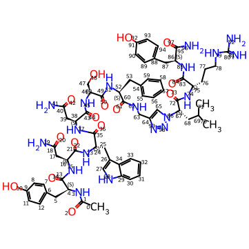 CC(=O)N[C@@H](Cc1ccc(O)cc1)C(=O)N[C@@H](CC(N)=O)C(=O)N[C@@H](Cc1c[nH]c2ccccc12)C(=O)N[C@@H](CC(N)=O)C(=O)N[C@@H](CO)C(=O)N[C@@H](Cc1ccccc1)C(=O)NCc1cn([C@@H](CC(C)C)C(=O)N[C@@H](CCCNC(=N)N)C(=O)N[C@@H](Cc2ccc(O)cc2)C(N)=O)nn1